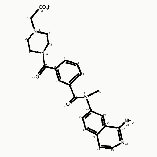 CN(C(=O)c1cccc(C(=O)N2CCN(CC(=O)O)CC2)c1)c1ccc2ccnc(N)c2c1